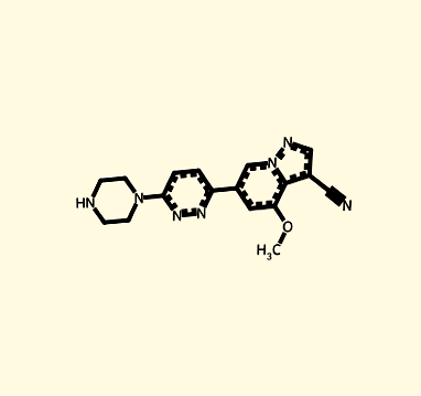 COc1cc(-c2ccc(N3CCNCC3)nn2)cn2ncc(C#N)c12